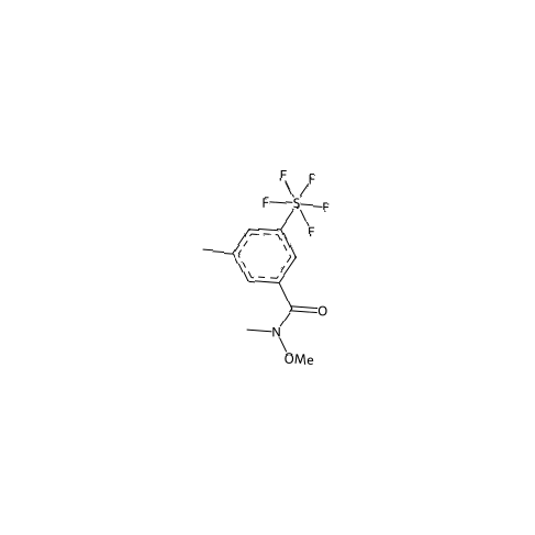 CON(C)C(=O)c1cc(C)cc(S(F)(F)(F)(F)F)c1